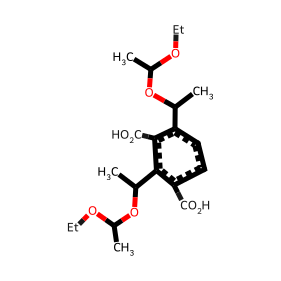 CCOC(C)OC(C)c1ccc(C(=O)O)c(C(C)OC(C)OCC)c1C(=O)O